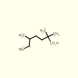 CC(CCC(C)(C)C(=O)O)CC(C)(C)C